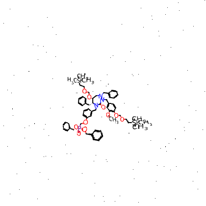 COc1cc(CN2C(=O)N(Cc3cccc(OCP(=O)(OCc4ccccc4)OCc4ccccc4)c3)[C@H](Cc3ccccc3)[C@H](OCOCC[Si](C)(C)C)CN2Cc2ccccc2)ccc1OCOCC[Si](C)(C)C